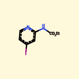 CCOC(=O)Nc1cc(I)ccn1